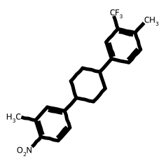 Cc1cc(C2CCC(c3ccc(C)c(C(F)(F)F)c3)CC2)ccc1[N+](=O)[O-]